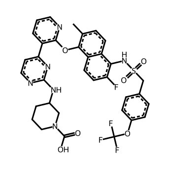 Cc1ccc2c(NS(=O)(=O)Cc3ccc(OC(F)(F)F)cc3)c(F)ccc2c1Oc1ncccc1-c1ccnc(NC2CCCN(C(=O)O)C2)n1